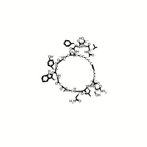 CC(=O)N[C@@H](CC(C)C)C(=O)N[C@H](C(=O)N[C@@H](Cc1ccccc1)C(=O)N[C@]1(C)CCCCCCC=CCCC[C@@](C)(C(=O)N[C@@H](CO)C(N)=O)NN[C@@H](CC(C)C)C(=O)C(=O)[C@H](CCC(N)=O)NCN[C@@H](C)C(=O)CC(=O)[C@H](Cc2c[nH]c3ccccc23)NC(=O)[C@H](Cc2ccc(O)cc2)NCC(=O)[C@H](C)NCC1=O)[C@@H](C)O